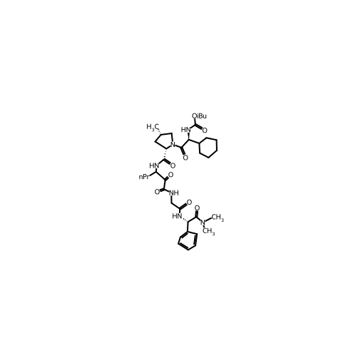 CCCC(NC(=O)[C@@H]1C[C@H](C)CN1C(=O)[C@@H](NC(=O)OCC(C)C)C1CCCCC1)C(=O)C(=O)NCC(=O)N[C@H](C(=O)N(C)C)c1ccccc1